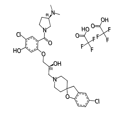 CN(C)[C@@H]1CCN(C(=O)c2cc(Cl)c(O)cc2OC[C@@H](O)CN2CCC3(CC2)Cc2cc(Cl)ccc2O3)C1.O=C(O)C(F)(F)F.O=C(O)C(F)(F)F